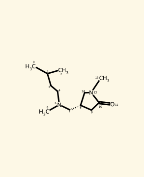 CC(C)CCN(C)C[C@H]1CC(=O)N(C)C1